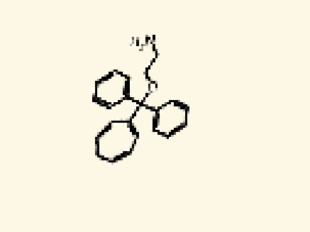 NCCOC(C1=CC=CCC=C1)(c1ccccc1)c1ccccc1